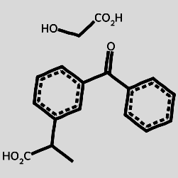 CC(C(=O)O)c1cccc(C(=O)c2ccccc2)c1.O=C(O)CO